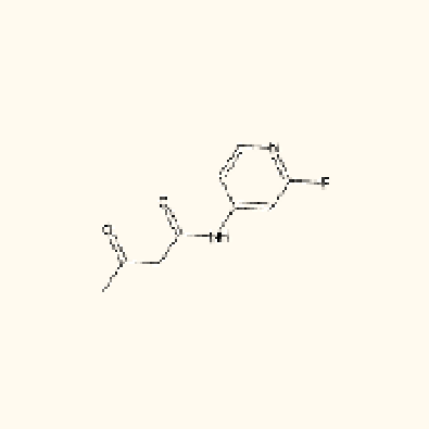 CC(=O)CC(=O)Nc1ccnc(F)c1